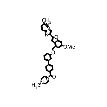 COc1cc(COc2cccc(-c3ccc(C(=O)N4CCN(C)CC4)cc3)c2)c2cc(-c3cn4nc(C)ccc4n3)oc2c1